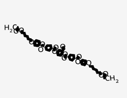 C=CC(=O)OCCCCCCOc1ccc(OC(=O)[C@H]2CC[C@@H](C(=O)Oc3ccc(OC(=O)[C@H]4CC[C@@H](C(=O)Oc5ccc(OCCCCCCOC(=O)C=C)cc5)CC4)c(C=O)c3)CC2)cc1